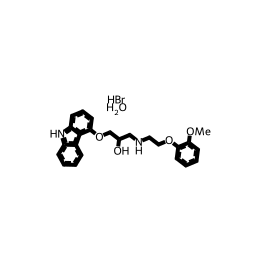 Br.COc1ccccc1OCCNCC(O)COc1cccc2[nH]c3ccccc3c12.O